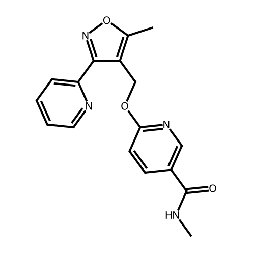 CNC(=O)c1ccc(OCc2c(-c3ccccn3)noc2C)nc1